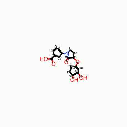 O=C(O)c1cccc(N2CCC(Oc3ccc(O)c(O)c3)C2=O)c1